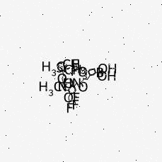 CN(Cc1cc(NC(=O)CCc2cc(B(O)O)ccc2OCC(F)F)cc(F)c1OC(CF)CF)C(=O)OCC[Si](C)(C)C